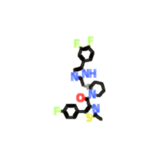 Cc1nc(C(=O)N2CCCC[C@H]2Cc2ncc(-c3ccc(F)c(F)c3)[nH]2)c(-c2ccc(F)cc2)s1